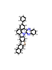 c1ccc(-c2cccc(-c3nc4ccccc4nc3-n3c4ccccc4c4cc5c(cc43)sc3cc4ccccc4cc35)c2)cc1